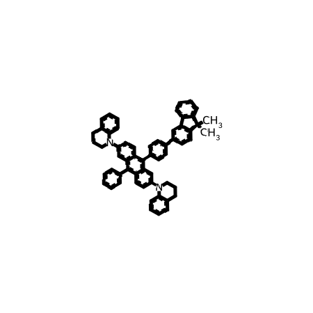 CC1(C)c2ccccc2-c2cc(-c3ccc(-c4c5ccc(N6CCCc7ccccc76)cc5c(-c5ccccc5)c5ccc(N6CCCc7ccccc76)cc45)cc3)ccc21